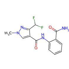 Cn1cc(C(=O)Nc2ccccc2C(N)=O)c(C(F)F)n1